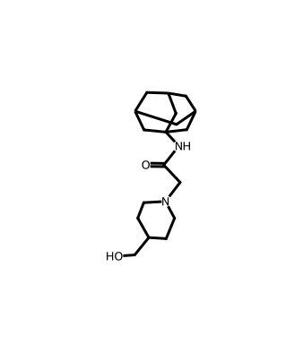 O=C(CN1CCC(CO)CC1)NC12CC3CC(CC(C3)C1)C2